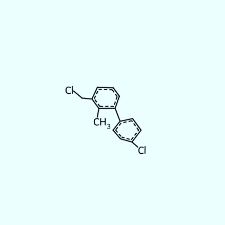 Cc1c(CCl)cccc1-c1ccc(Cl)cc1